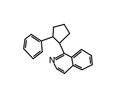 c1ccc(C2CCCC2c2nccc3ccccc23)cc1